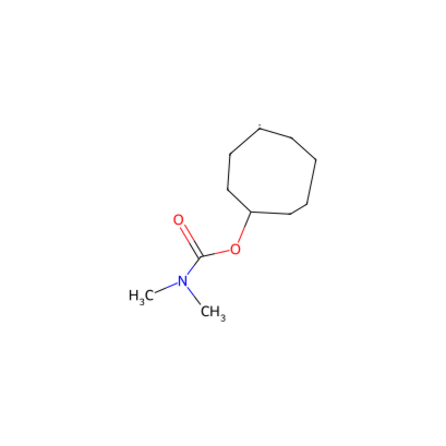 CN(C)C(=O)OC1CC[CH]CCCC1